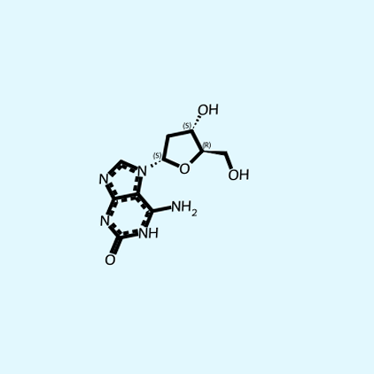 Nc1[nH]c(=O)nc2ncn([C@@H]3C[C@H](O)[C@@H](CO)O3)c12